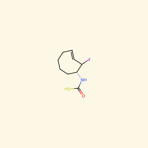 O=C(S)N[C@@H]1CCCC/C=C/C1I